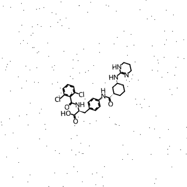 O=C(N[C@@H](Cc1ccc(NC(=O)[C@H]2CCC[C@@H](NC3=NCCCN3)C2)cc1)C(=O)O)c1c(Cl)cccc1Cl